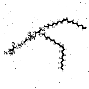 CCCCCCCC/C=C\CCCCCCCCOCC(COC(=O)NCCOCCNC(=O)c1c[nH]cn1)OCCCCCCCC/C=C\CCCCCCCC